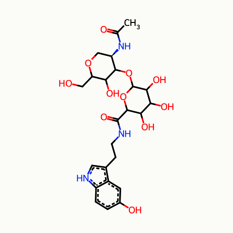 CC(=O)N[C@@H]1COC(CO)C(O)C1OC1OC(C(=O)NCCc2c[nH]c3ccc(O)cc23)C(O)C(O)C1O